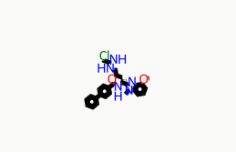 COc1cccc2c1nc([C@H](CCCNC(=N)CCl)NC(=O)c1ccc(-c3ccccc3)cc1)n2C